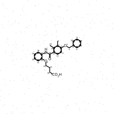 Cc1c(OCc2ccccc2)ccc(C(=O)Nc2ccccc2OCCCC(=O)O)c1C